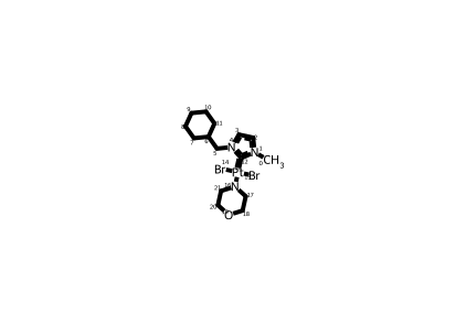 Cn1ccn(CC2CCCCC2)[c]1=[Pt]([Br])([Br])[N]1CCOCC1